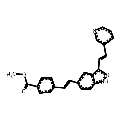 COC(=O)c1ccc(/C=C/c2ccc3[nH]nc(/C=C/c4cccnc4)c3c2)cc1